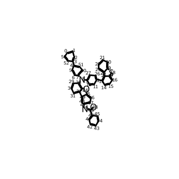 c1ccc(-c2ccc(N(c3ccc(-c4cccc5sc6ccccc6c45)cc3)c3cccc4c3oc3cc5oc(-c6ccccc6)nc5cc34)cc2)cc1